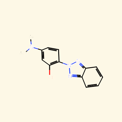 CC(=O)N(C(C)=O)c1ccc(-n2nc3ccccc3n2)c(O)c1